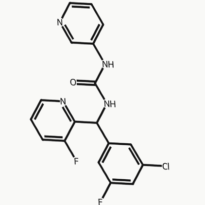 O=C(Nc1cccnc1)NC(c1cc(F)cc(Cl)c1)c1ncccc1F